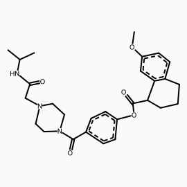 COc1ccc2c(c1)C(C(=O)Oc1ccc(C(=O)N3CCN(CC(=O)NC(C)C)CC3)cc1)CCC2